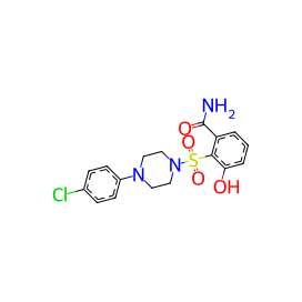 NC(=O)c1cccc(O)c1S(=O)(=O)N1CCN(c2ccc(Cl)cc2)CC1